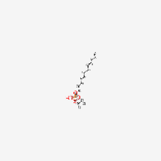 CCCCCCCCCCCCOP(=O)(O)OC(C)CC